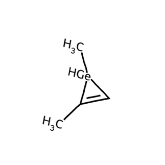 C[C]1=[CH][GeH]1[CH3]